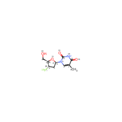 Cc1cn([C@H]2C[C@@H]([18F])[C@@H](CO)O2)c(=O)[nH]c1=O